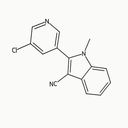 Cn1c(-c2cncc(Cl)c2)c(C#N)c2ccccc21